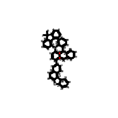 CC1(C)c2ccccc2-c2c(N(c3ccc(-c4ccc5c6c(ccc5c4)OC4C=CC=CC64)cc3)c3ccccc3-c3cccc4ccccc34)cccc21